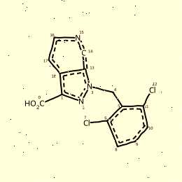 O=C(O)c1nn(Cc2c(Cl)cccc2Cl)c2cnccc12